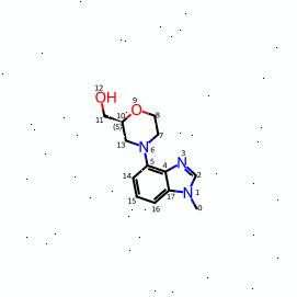 Cn1cnc2c(N3CCO[C@H](CO)C3)cccc21